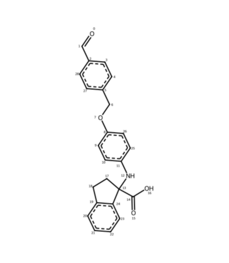 O=Cc1ccc(COc2ccc(NC3(C(=O)O)CCc4ccccc43)cc2)cc1